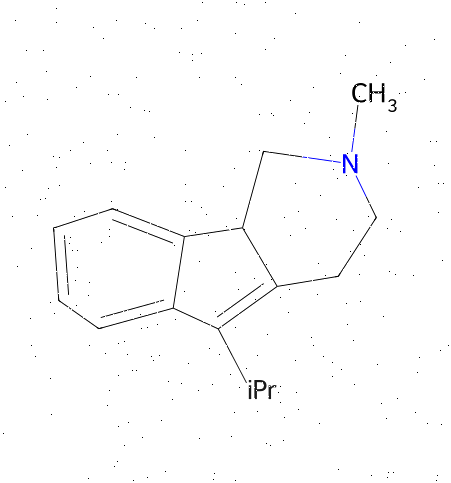 CC(C)C1=C2CCN(C)CC2c2ccccc21